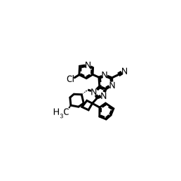 C[C@H]1CC[C@H](Cn2c(C3(c4ccccc4)CCC3)nc3nc(C#N)nc(-c4cncc(Cl)c4)c32)CC1